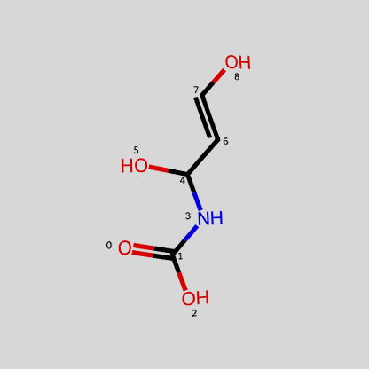 O=C(O)NC(O)C=CO